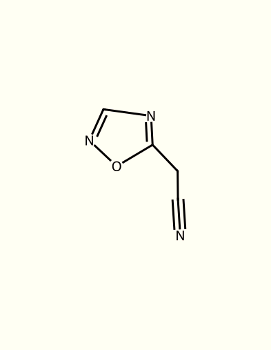 N#CCc1ncno1